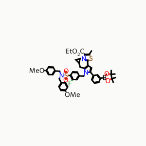 CCOC(=O)c1nc(-c2cc(-c3cccc(B4OC(C)(C)C(C)(C)O4)c3)n(Cc3ccc(S(=O)(=O)N(Cc4ccc(OC)cc4)Cc4ccc(OC)cc4)c(F)c3)c2CC2CC2)sc1C